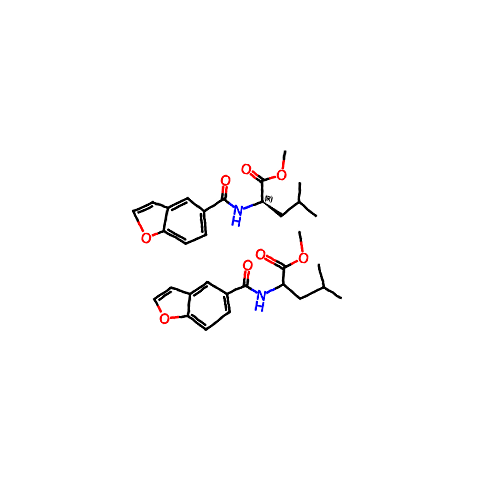 COC(=O)C(CC(C)C)NC(=O)c1ccc2occc2c1.COC(=O)[C@@H](CC(C)C)NC(=O)c1ccc2occc2c1